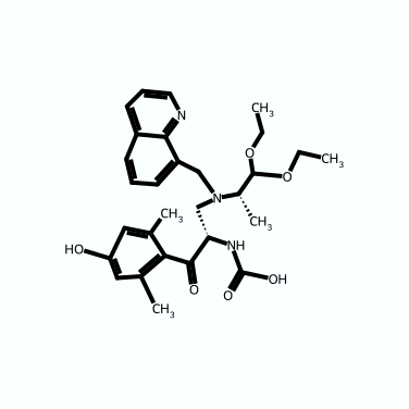 CCOC(OCC)[C@H](C)N(Cc1cccc2cccnc12)C[C@H](NC(=O)O)C(=O)c1c(C)cc(O)cc1C